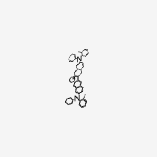 Cc1ccccc1N(c1ccccc1)c1ccc2cc3c4c(oc3cc2c1)C=C1C=C(N(C2=CCCC=C2)C2C=CC=CC2C)C=CC1C4